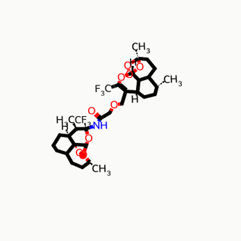 C[C@@H]1CC[C@H]2C(COCC(=O)N[C@@]3(C(F)(F)F)OC4O[C@]5(C)CCC6CCC[C@@H]([C@H]3C)[C@]64OO5)=C(C(F)(F)F)O[C@@H]3O[C@]4(C)CCC1[C@]32OO4